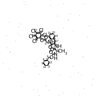 CC(NC(=O)OCc1ccccc1)C(=O)NC(Cc1ccccc1)C(=O)NCC(=O)Oc1c(Cl)c(Cl)c(Cl)c(Cl)c1Cl